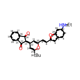 CCNc1ccc2cc(C=CC3=CC(=C4C(=O)c5ccccc5C4=O)C=C(C(C)(C)C)O3)oc2c1